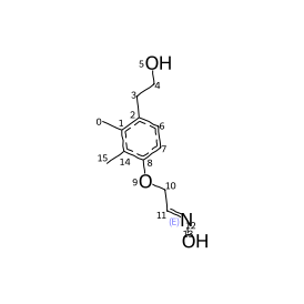 Cc1c(CCO)ccc(OC/C=N/O)c1C